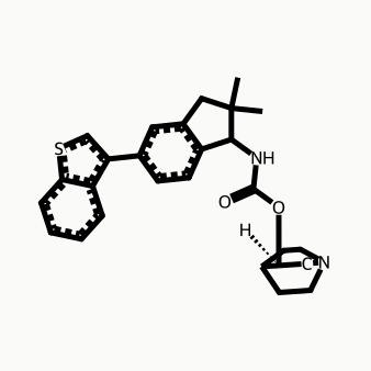 CC1(C)Cc2cc(-c3csc4ccccc34)ccc2C1NC(=O)O[C@H]1CN2CCC1CC2